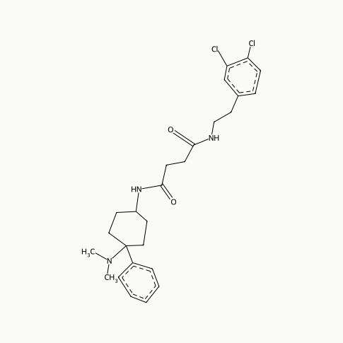 CN(C)C1(c2ccccc2)CCC(NC(=O)CCC(=O)NCCc2ccc(Cl)c(Cl)c2)CC1